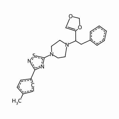 Cc1ccc(-c2nsc(N3CCN(C(Cc4ccccc4)C4=COCO4)CC3)n2)cc1